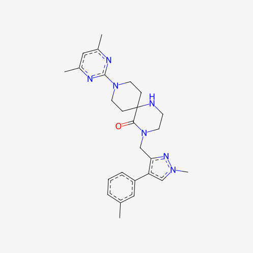 Cc1cccc(-c2cn(C)nc2CN2CCNC3(CCN(c4nc(C)cc(C)n4)CC3)C2=O)c1